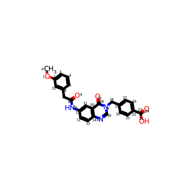 COc1cccc(CC(=O)Nc2ccc3ncn(Cc4ccc(C(=O)O)cc4)c(=O)c3c2)c1